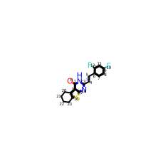 O=c1[nH]c(/C=C/c2ccc(F)cc2F)nc2sc3c(c12)CCCC3